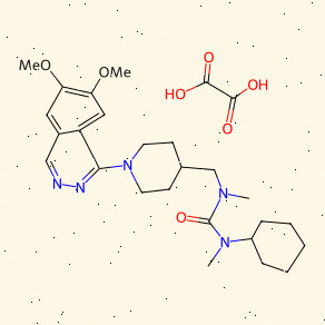 COc1cc2cnnc(N3CCC(CN(C)C(=O)N(C)C4CCCCC4)CC3)c2cc1OC.O=C(O)C(=O)O